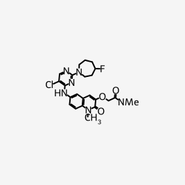 CNC(=O)COc1cc2cc(Nc3nc(N4CCCC(F)CC4)ncc3Cl)ccc2n(C)c1=O